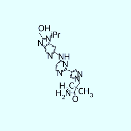 CC(C)n1c(CO)nc2cnc(Nc3ccnc(-c4cnn(CC(C)(C)C(N)=O)c4)n3)cc21